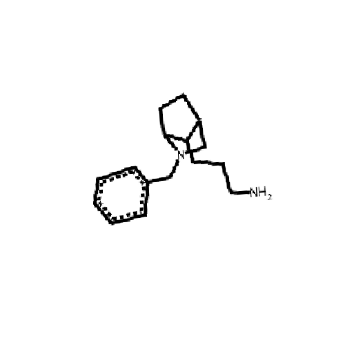 NCCCC1C2CCC1N(Cc1ccccc1)C2